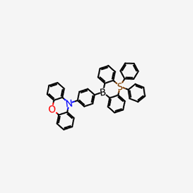 c1ccc(S2(c3ccccc3)c3ccccc3B(c3ccc(N4c5ccccc5Oc5ccccc54)cc3)c3ccccc32)cc1